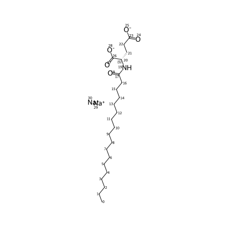 CCCCCCCCCCCCCCCCCC(=O)N[C@@H](CCC(=O)[O-])C(=O)[O-].[Na+].[Na+]